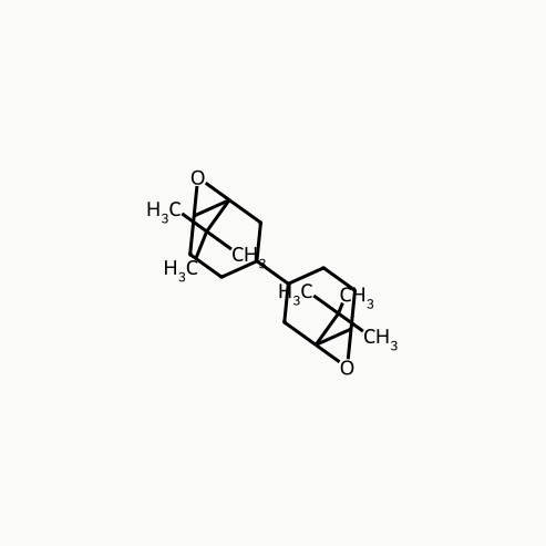 CC(C)(C)C12CC(C3CCC4OC4(C(C)(C)C)C3)CCC1O2